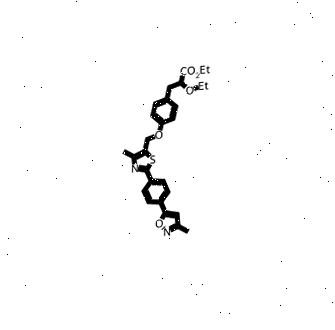 CCOC(=O)C(Cc1ccc(OCc2sc(-c3ccc(-c4cc(C)no4)cc3)nc2C)cc1)OCC